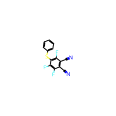 N#Cc1c(F)c(F)c(Sc2ccccc2)c(F)c1C#N